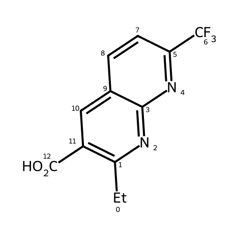 CCc1nc2nc(C(F)(F)F)ccc2cc1C(=O)O